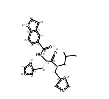 CC(C)CN(Cc1cncs1)C(=O)[C@H](Cc1cscn1)NC(=O)c1ccc2occc2c1